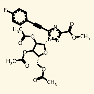 COC(=O)c1nc(C#Cc2ccc(F)cc2)n([C@@H]2O[C@H](COC(C)=O)C(OC(C)=O)C2OC(C)=O)n1